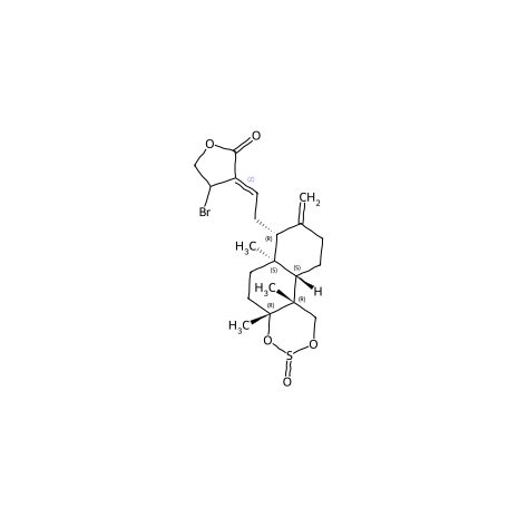 C=C1CC[C@H]2[C@@](C)(CC[C@@]3(C)OS(=O)OC[C@@]23C)[C@@H]1C/C=C1/C(=O)OCC1Br